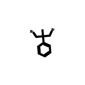 CC(CBr)(CBr)c1ccccc1